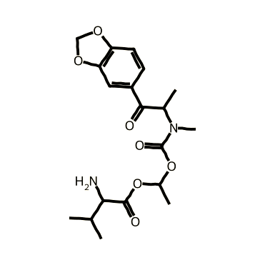 CC(OC(=O)C(N)C(C)C)OC(=O)N(C)C(C)C(=O)c1ccc2c(c1)OCO2